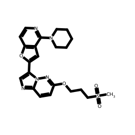 CS(=O)(=O)CCCOc1ccc2ncc(-c3cc4c(N5CCCCC5)nccc4o3)n2n1